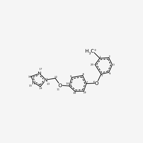 Cc1cccc(Oc2ccc(OCn3cncn3)cc2)c1